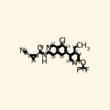 CCc1cc(OC(F)F)ncc1-c1cc(Cl)c2cnc(NC(=O)[C@H]3C[C@@H]3C#N)cc2c1